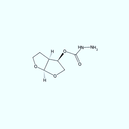 NNC(=O)O[C@H]1CO[C@H]2OCC[C@H]21